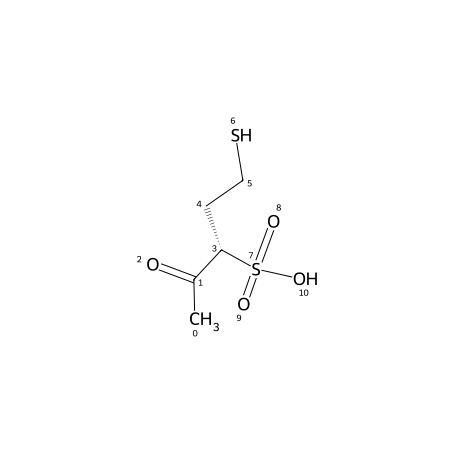 CC(=O)[C@H](CCS)S(=O)(=O)O